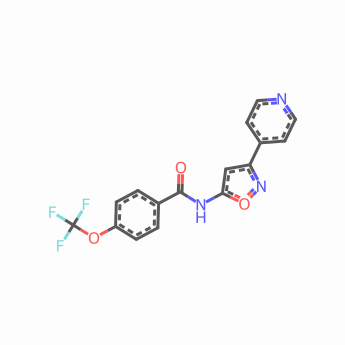 O=C(Nc1cc(-c2ccncc2)no1)c1ccc(OC(F)(F)F)cc1